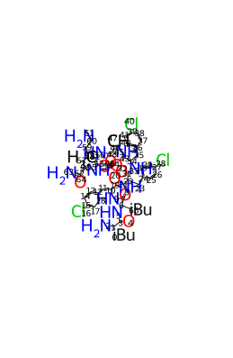 CCC(C)C(N)C(=O)NC(C(=O)NC(Cc1ccc(Cl)cc1)C(=O)NC(Cc1ccc(Cl)cc1)C(=O)NC(Cc1ccc(Cl)cc1)C(=O)NC(C)C(=O)NC(C)C(=O)NC(CCCCN)C(N)=O)C(C)CC